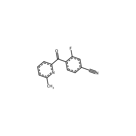 Cc1cccc(C(=O)c2ccc(C#N)cc2F)n1